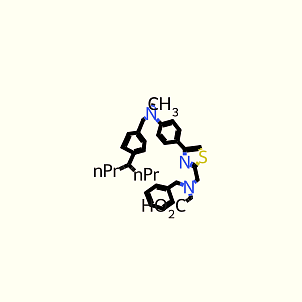 CCCC(CCC)c1ccc(CN(C)c2ccc(-c3csc(CN(CC(=O)O)Cc4ccccc4)n3)cc2)cc1